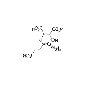 O=C(O)CCC(=O)OC(C(=O)O)C(O)C(=O)O.[AlH3].[Zn]